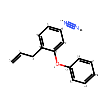 C=CCc1ccccc1Oc1ccccc1.N#N